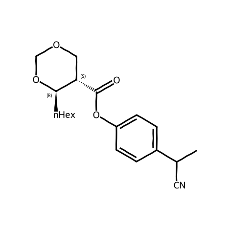 CCCCCC[C@H]1OCOC[C@@H]1C(=O)Oc1ccc(C(C)C#N)cc1